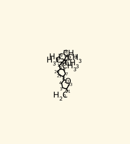 C=CC1CCC(C2CCC(CC(C)(C)C(C)(C)C(C)C)CC2)OC1